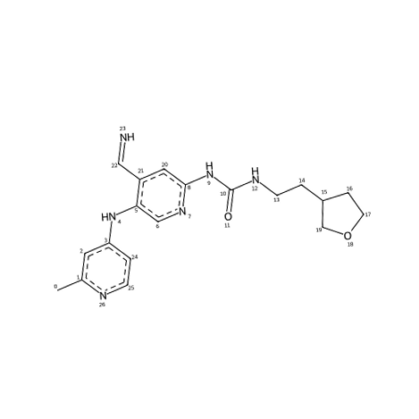 Cc1cc(Nc2cnc(NC(=O)NCCC3CCOC3)cc2C=N)ccn1